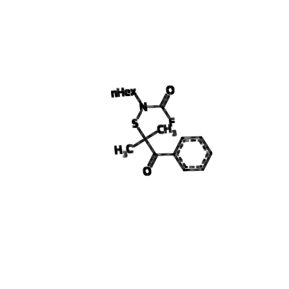 CCCCCCN(SC(C)(C)C(=O)c1ccccc1)C(=O)F